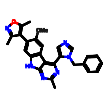 COc1cc2c(cc1-c1c(C)noc1C)[nH]c1nc(C)nc(-c3cncn3Cc3ccccc3)c12